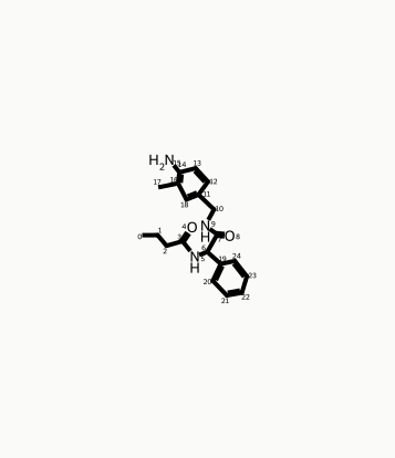 CCCC(=O)NC(C(=O)NCc1ccc(N)c(C)c1)c1ccccc1